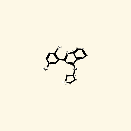 Cc1ccc(O)c(-c2nc(NC3CCNC3)c3ccccc3n2)c1